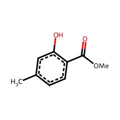 COC(=O)c1c[c]c(C)cc1O